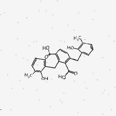 Cc1cccc(Cc2ccc(C(=O)O)c(Cc3cccc(C)c3O)c2C(=O)O)c1O